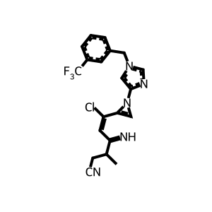 CC(CC#N)C(=N)/C=C(/Cl)C1=CN1c1cn(Cc2cccc(C(F)(F)F)c2)cn1